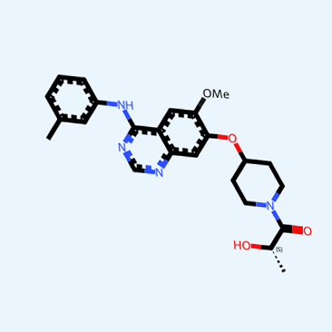 COc1cc2c(Nc3cccc(C)c3)ncnc2cc1OC1CCN(C(=O)[C@H](C)O)CC1